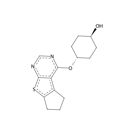 O[C@H]1CC[C@H](Oc2ncnc3sc4c(c23)CCC4)CC1